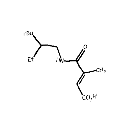 CCCCC(CC)CNC(=O)C(C)=CC(=O)O